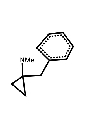 CNC1(Cc2ccccc2)CC1